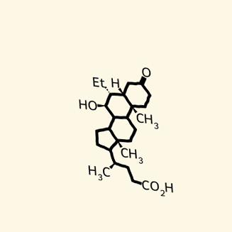 CC[C@H]1[C@H](O)C2C3CCC([C@H](C)CCC(=O)O)[C@@]3(C)CCC2[C@@]2(C)CCC(=O)C[C@@H]12